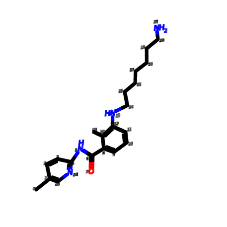 Cc1ccc(NC(=O)c2cccc(NCCCCCCCN)c2C)nc1